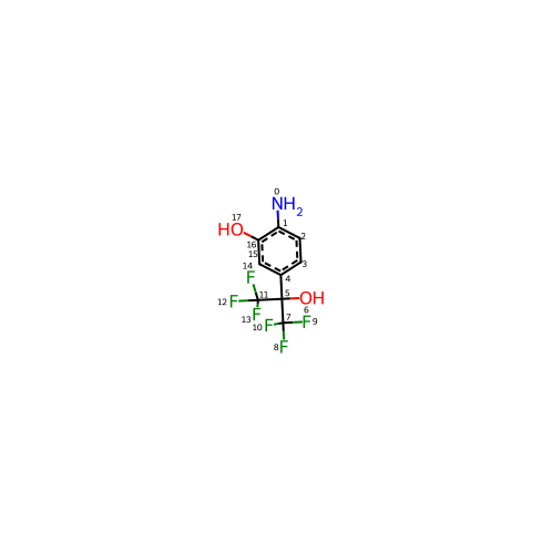 Nc1ccc(C(O)(C(F)(F)F)C(F)(F)F)cc1O